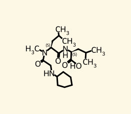 CC(C)C[C@H](NC(=O)[C@H](CC(C)C)N(C)C(=O)CNC1CCCCC1)C(=O)O